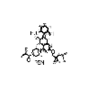 C=C(F)C(=O)N1CCN(c2nc(OCC3(CN(C)C)CC3)nc3c2CC(C)N(c2c(Cl)cccc2C(F)(F)F)C3)C[C@@H]1CC#N